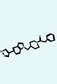 O=C(Cc1ccccc1)N1CCC(Cn2ccc3cc(-c4cn[nH]c4)ccc32)CC1